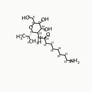 CC(C)[C@@H]1OC(CO)[C@@H](O)C(O)C1NC(=O)CCCCCCCN